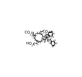 CC(N1CCN(CC(=O)O)CCN(CC(=O)O)CCN(CC(=O)O)CC1)P(=O)(OCc1ccccc1)OCc1ccccc1